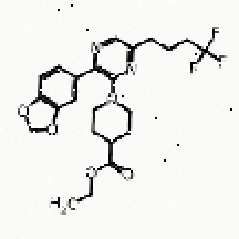 CCOC(=O)C1CCN(c2nc(CCCC(F)(F)F)cnc2-c2ccc3c(c2)OCO3)CC1